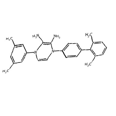 Cc1cc(C)cc(N2C=CN(c3ccc(-c4c(C)cccc4C)cc3)C(N)=C2N)c1